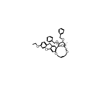 CCOc1ccc(Cc2cc3c(cc2Cl)OC/C=C\COC[C@H]2O[C@@H]3[C@H](OCc3ccccc3)[C@@H](OCc3ccccc3)[C@@H]2C)cc1